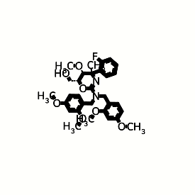 COc1ccc(CN(Cc2ccc(OC)cc2OC)C2=N[C@](C)(c3ccccc3F)[C@@H](OC)[C@@H](CO)O2)c(OC)c1